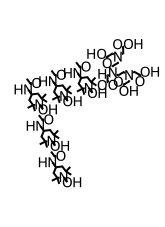 CC(=O)NC1CC(C)(C)N(O)C(C)(C)C1.CC(=O)NC1CC(C)(C)N(O)C(C)(C)C1.CC(=O)NC1CC(C)(C)N(O)C(C)(C)C1.CC(=O)NC1CC(C)(C)N(O)C(C)(C)C1.CC(=O)NC1CC(C)(C)N(O)C(C)(C)C1.O=C(O)CN(CCN(CC(=O)O)CC(=O)O)CCN(CC(=O)O)CC(=O)O